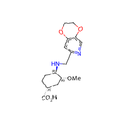 CO[C@@H]1C[C@H](C(=O)O)CC[C@H]1NCc1cc2c(cn1)OCCO2